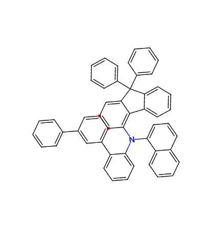 c1ccc(-c2cccc(-c3ccccc3N(c3cccc4c3-c3ccccc3C4(c3ccccc3)c3ccccc3)c3cccc4ccccc34)c2)cc1